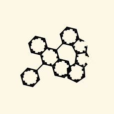 c1ccc(-c2c3ccccc3c(-c3cccc4oc5oc6ccccc6c5c34)c3ccccc23)cc1